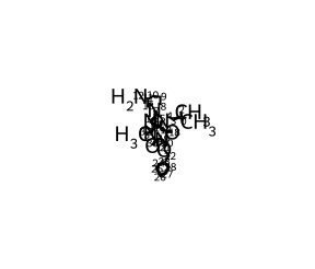 CC(C)=CCn1c(N2CCCC(N)C2)nc2c1c(=O)n(COCc1ccccc1)c(=O)n2C